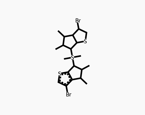 CC1c2c(Br)csc2C(S(C)(C)C2C(C)C(C)C3C(Br)CSC32)C1C